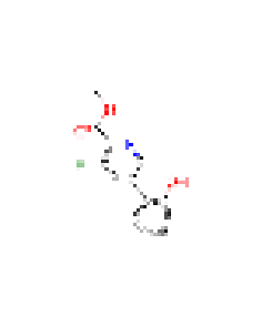 COC(=O)c1ncc(-c2ccccc2O)cc1F